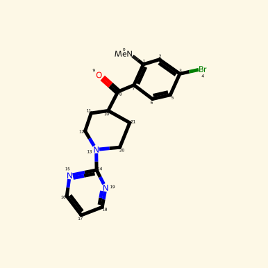 CNc1cc(Br)ccc1C(=O)C1CCN(c2ncccn2)CC1